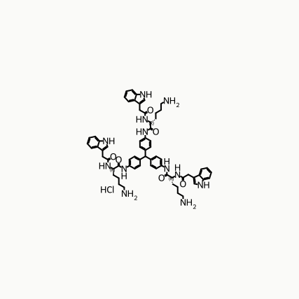 Cl.NCCCC[C@@H](NC(=O)Cc1c[nH]c2ccccc12)C(=O)Nc1ccc(C(c2ccc(NC(=O)[C@@H](CCCCN)NC(=O)Cc3c[nH]c4ccccc34)cc2)c2ccc(NC(=O)[C@@H](CCCCN)NC(=O)Cc3c[nH]c4ccccc34)cc2)cc1